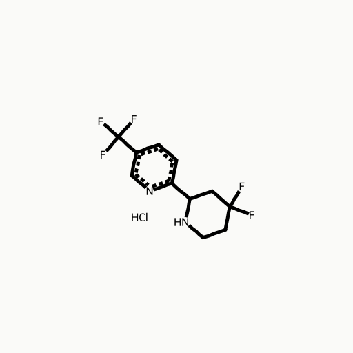 Cl.FC1(F)CCNC(c2ccc(C(F)(F)F)cn2)C1